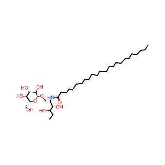 CCCCCCCCCCCCCCCCCCCCCCCC(=O)N[C@@H](CO[C@H]1O[C@H](CO)[C@H](O)[C@H](O)[C@H]1O)[C@H](O)[C@H](O)CC